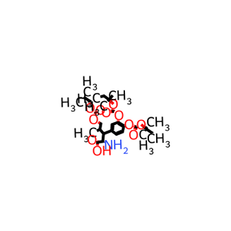 CCC(C)(C)OC(=O)Oc1ccc(C(C(C)COC(=O)OCC(C)C)[C@H](N)C(=O)O)cc1OC(=O)OC(C)(C)CC